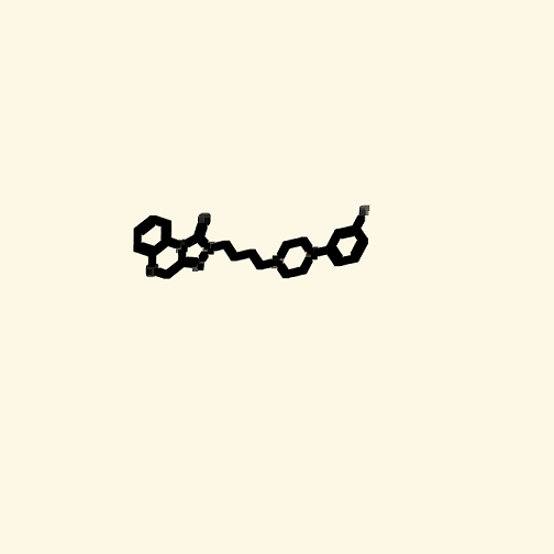 O=c1n(CCCCN2CCN(c3cccc(F)c3)CC2)nc2n1-c1ccccc1OC2